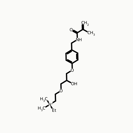 C=C(C)C(=O)NCc1ccc(OCC(O)COCC[N+](C)(C)CC)cc1